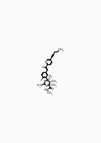 CCCC#Cc1ccc(/C(F)=C/c2ccc(F)c([C@@]3(C)N=C(N)S[C@](C)(C(=O)NC)[C@H]3C)c2)nc1